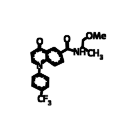 COC[C@@H](C)NC(=O)c1ccc2c(c1)c(=O)ccn2-c1ccc(C(F)(F)F)cc1